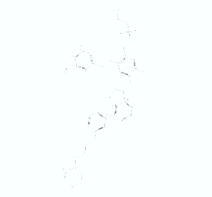 CC(CCO)(NCc1cc(Cl)c(O[C@H]2CCc3c(-c4cccc(OCCCN5CCCCC5)c4Cl)cccc32)cc1OCc1cncc(C#N)c1)C(=O)O